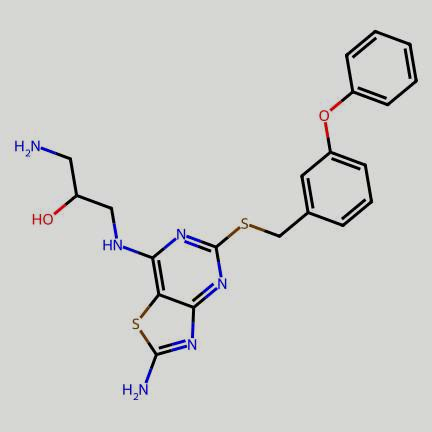 NCC(O)CNc1nc(SCc2cccc(Oc3ccccc3)c2)nc2nc(N)sc12